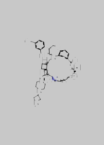 CCCc1cc(Cl)ccc1[C@@H]1COc2ccc3cc2N(C1)C[C@@H]1CC[C@H]1[C@@](CN1CCN(C2CN(C)C2)CC1)(OC)/C=C/C[C@H](C)[C@@H](C)S(=O)(=O)NC3=O